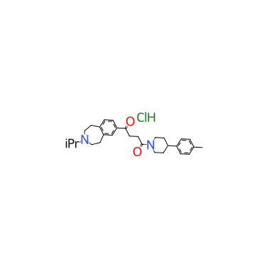 Cc1ccc(C2CCN(C(=O)CCC(=O)c3ccc4c(c3)CCN(C(C)C)CC4)CC2)cc1.Cl